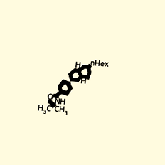 CCCCCCC1CC[C@@H]2C[C@H](c3ccc(C4NC(C)(C)CO4)cc3)CC[C@@H]2C1